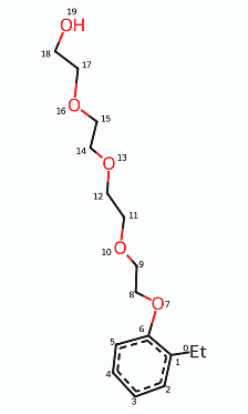 CCc1ccccc1OCCOCCOCCOCCO